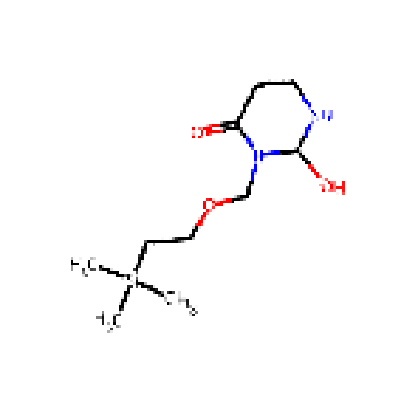 C[Si](C)(C)CCOCN1C(=O)CCNC1O